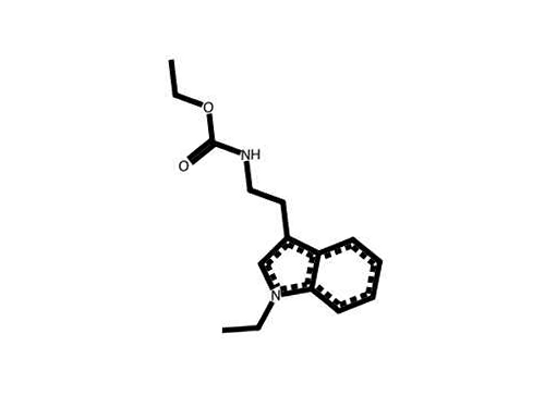 CCOC(=O)NCCc1cn(CC)c2ccccc12